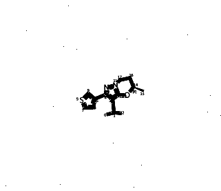 CC(C)c1c(-c2ccsc2)nn2c1O[C@H](C)CC2